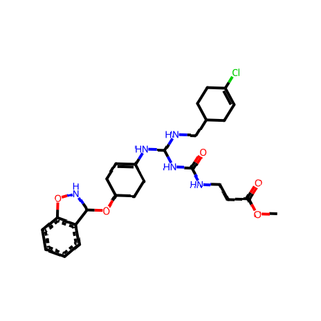 COC(=O)CCNC(=O)NC(NCC1CC=C(Cl)CC1)NC1=CCC(OC2NOc3ccccc32)CC1